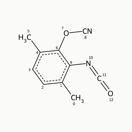 Cc1ccc(C)c(OC#N)c1N=C=O